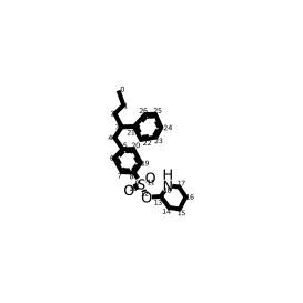 CCCC(Cc1ccc(S(=O)(=O)OC2CCCCN2)cc1)c1ccccc1